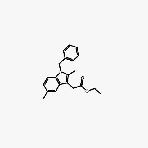 CCOC(=O)Cc1c(C)n(Cc2ccccc2)c2ccc(C)cc12